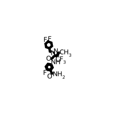 Cc1nn(CC2CCC(F)(F)CC2)c(C(=O)Nc2ccc(F)c(C(N)=O)c2)c1C(F)(F)F